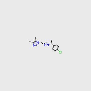 Cc1ncn(CCCNC(C)c2ccc(Cl)cc2)c1C